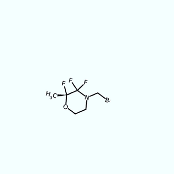 [B]CN1CCO[C@](C)(F)C1(F)F